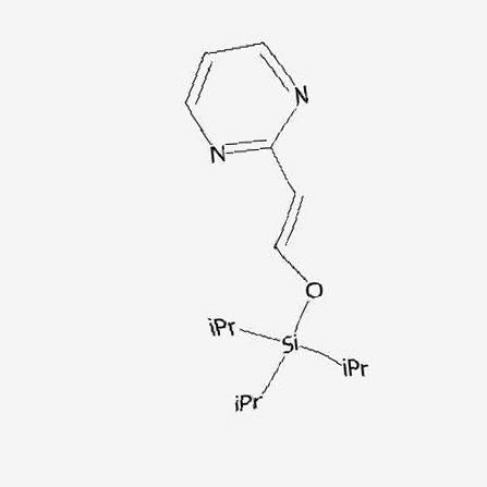 CC(C)[Si](OC=Cc1ncccn1)(C(C)C)C(C)C